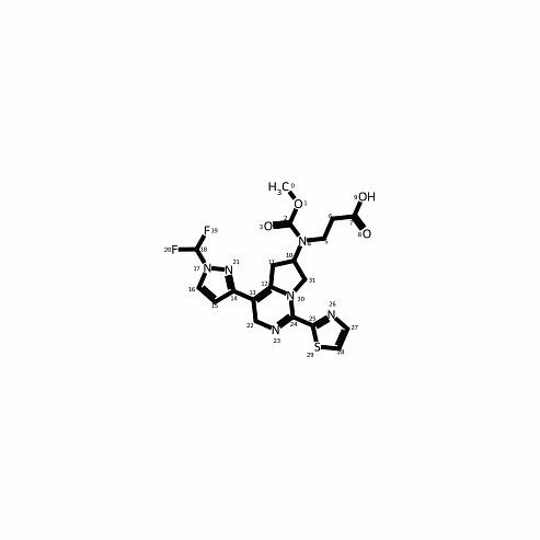 COC(=O)N(CCC(=O)O)C1CC2=C(c3ccn(C(F)F)n3)CN=C(c3nccs3)N2C1